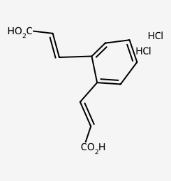 Cl.Cl.O=C(O)C=Cc1ccccc1C=CC(=O)O